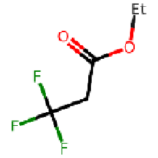 CCOC(=O)CC(F)(F)F